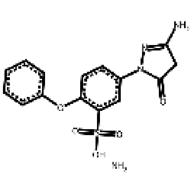 N.NC1=NN(c2ccc(Oc3ccccc3)c(S(=O)(=O)O)c2)C(=O)C1